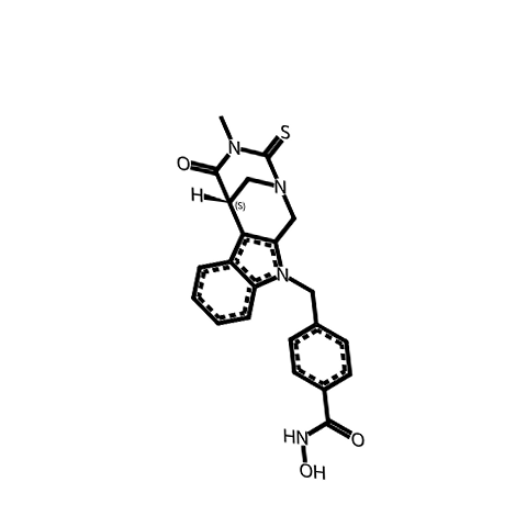 CN1C(=O)[C@@H]2CN(Cc3c2c2ccccc2n3Cc2ccc(C(=O)NO)cc2)C1=S